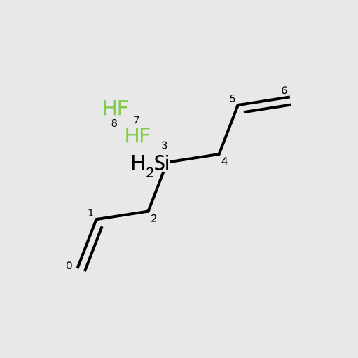 C=CC[SiH2]CC=C.F.F